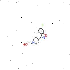 OCCN1CCC(c2noc3cc(F)ccc23)CC1